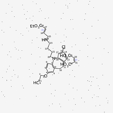 C#CCOc1ccc2c(c1)CCc1ccc(Cl)cc1N2CCCCNC/C=C/C(=O)OCC.O=C(O)/C=C\C(=O)O